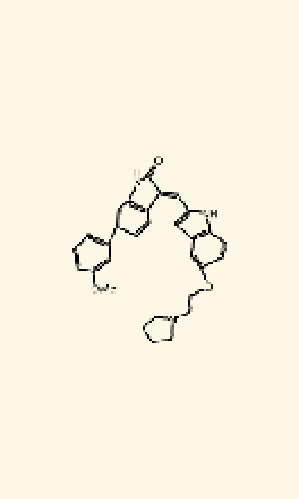 COc1cccc(-c2ccc3c(c2)NC(=O)C3=Cc2cc3cc(OCCN4CCCC4)ccc3[nH]2)c1